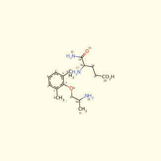 Cc1cccc(C)c1OCC(C)N.NC(=O)C(N)CCC(=O)O